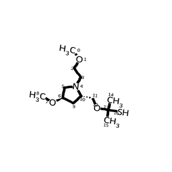 COCCN1C[C@H](OC)C[C@H]1COC(C)(C)S